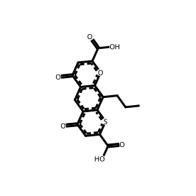 CCCc1c2oc(C(=O)O)cc(=O)c2cc2c(=O)cc(C(=O)O)sc12